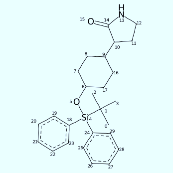 CC(C)(C)[Si](OC1CCC(C2CCNC2=O)CC1)(c1ccccc1)c1ccccc1